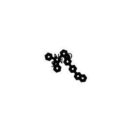 c1ccc(-c2nc(-c3cccc4oc5cc(-c6ccc(-c7ccc8ccccc8c7)cc6)ccc5c34)nc3c2sc2ccccc23)cc1